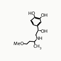 COCCC(C)NC[C@H](O)c1ccc(O)c(O)c1